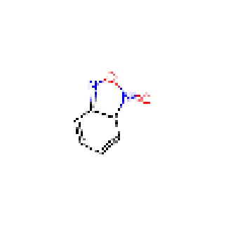 O=[N+]1ON=C2C=CC=CC21